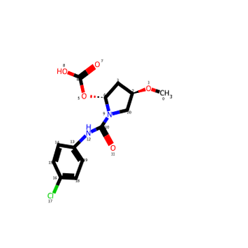 CO[C@@H]1C[C@@H](OC(=O)O)N(C(=O)Nc2ccc(Cl)cc2)C1